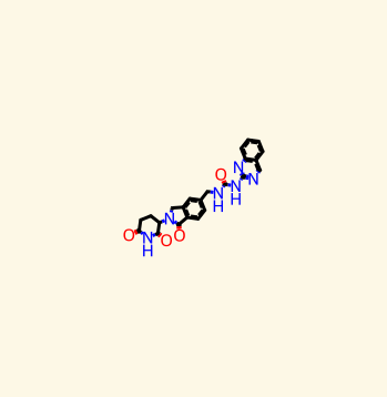 O=C1CCC(N2Cc3cc(CNC(=O)Nc4ncc5ccccc5n4)ccc3C2=O)C(=O)N1